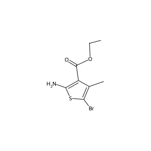 CCOC(=O)c1c(N)sc(Br)c1C